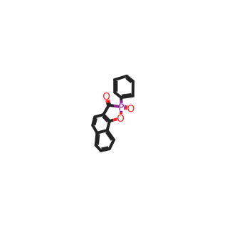 O=C1c2ccc3ccccc3c2OP1(=O)c1ccccc1